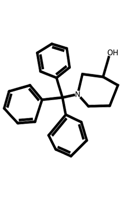 OC1CCCN(C(c2ccccc2)(c2ccccc2)c2ccccc2)C1